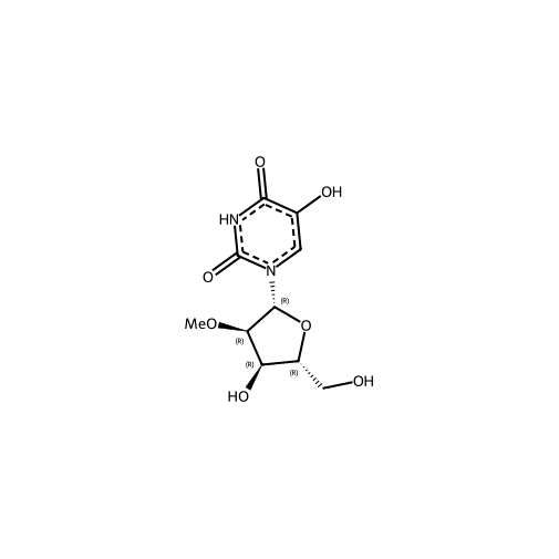 CO[C@@H]1[C@H](O)[C@@H](CO)O[C@H]1n1cc(O)c(=O)[nH]c1=O